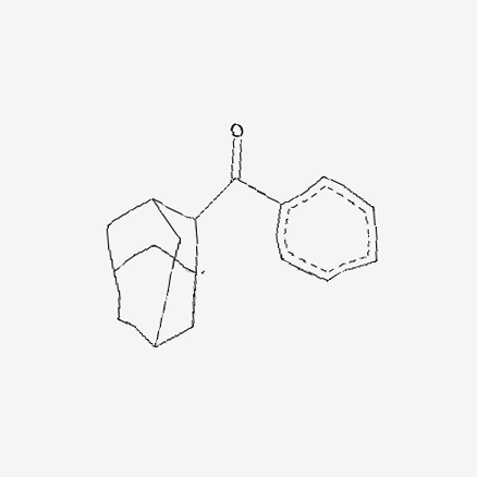 O=C(c1ccccc1)C1[C]2CC3CC(C2)CC1C3